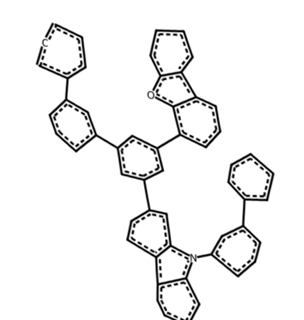 c1ccc(-c2cccc(-c3cc(-c4ccc5c6ccccc6n(-c6cccc(-c7ccccc7)c6)c5c4)cc(-c4cccc5c4oc4ccccc45)c3)c2)cc1